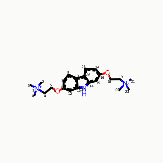 C[N+](C)(C)CCOc1ccc2c(c1)[nH]c1cc(OCC[N+](C)(C)C)ccc12